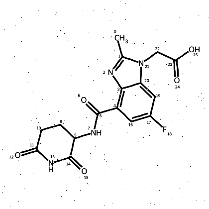 Cc1nc2c(C(=O)NC3CCC(=O)NC3=O)cc(F)cc2n1CC(=O)O